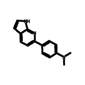 CN(C)c1ccc(-c2ccc3cc[nH]c3n2)cc1